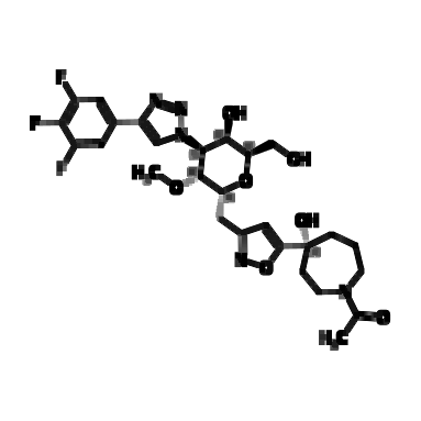 CO[C@@H]1[C@@H](n2cc(-c3cc(F)c(F)c(F)c3)nn2)[C@@H](O)[C@@H](CO)O[C@@H]1Cc1cc([C@@]2(O)CCCN(C(C)=O)CC2)on1